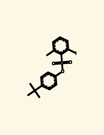 Cc1cccc(I)c1S(=O)(=O)Oc1ccc(C(C)(C)C)cc1